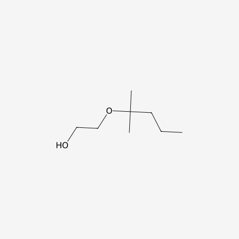 CCCC(C)(C)OCCO